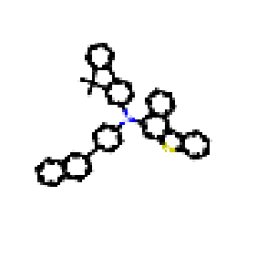 CC1(C)c2ccccc2-c2ccc(N(c3ccc(-c4ccc5ccccc5c4)cc3)c3cc4sc5ccccc5c4c4ccccc34)cc21